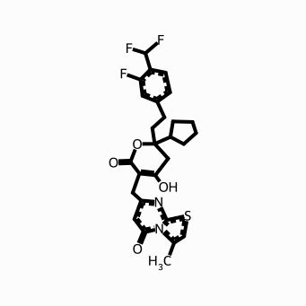 Cc1csc2nc(CC3=C(O)CC(CCc4ccc(C(F)F)c(F)c4)(C4CCCC4)OC3=O)cc(=O)n12